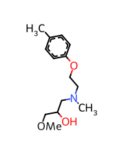 COCC(O)CN(C)CCOc1ccc(C)cc1